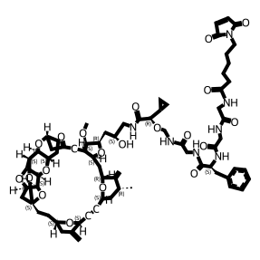 C=C1C[C@@H]2CC[C@@]34C[C@H]5OC6[C@@H](O[C@H]7CC[C@H](CC(=O)C[C@@H]8[C@@H](OC)[C@@H](C[C@H](O)CNC(=O)[C@H](OCNC(=O)CNC(=O)[C@H](Cc9ccccc9)NC(=O)CNC(=O)CNC(=O)CCCCCN9C(=O)C=CC9=O)C9CC9)O[C@H]8C[C@H]8O[C@@H](CC[C@@H]1O2)C[C@@H](C)C8=C)O[C@@H]7[C@@H]6O3)[C@H]5O4